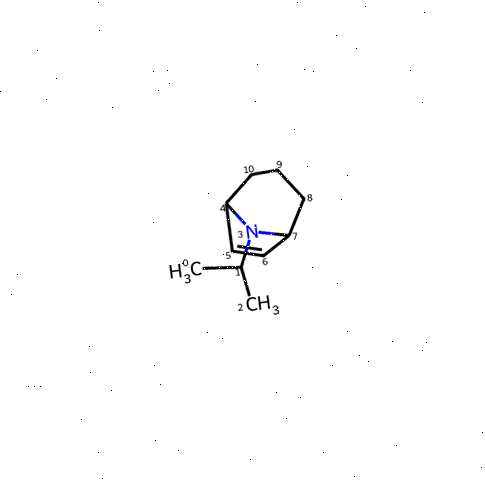 CC(C)N1C2C=CC1CCC2